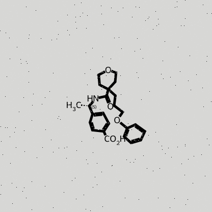 C[C@H](NC(=O)C1(CCCOc2ccccc2)CCOCC1)c1ccc(C(=O)O)cc1